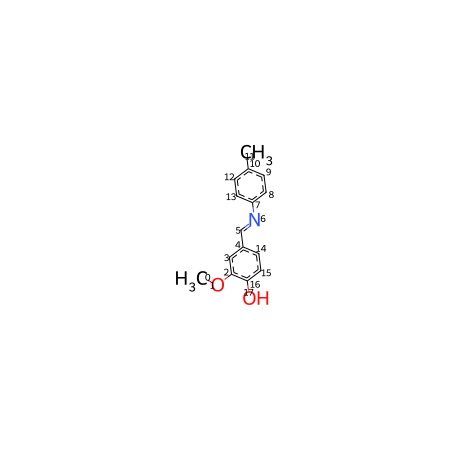 COc1cc(C=Nc2ccc(C)cc2)ccc1O